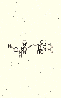 CC(C(=O)NCCCC#Cc1cnc(Nc2ccc(C#N)cc2)nc1N1CCCC1)N(C)C(=O)O